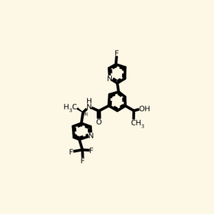 CC(O)c1cc(C(=O)N[C@H](C)c2ccc(C(F)(F)F)nc2)cc(-c2ccc(F)cn2)c1